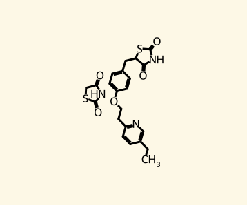 CCc1ccc(CCOc2ccc(CC3SC(=O)NC3=O)cc2)nc1.O=C1CSC(=O)N1